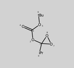 CC(C)C1(OC(=O)OC(C)(C)C)OO1